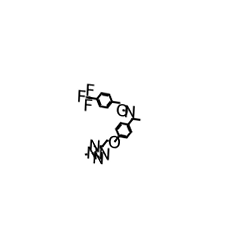 CC(=NOCc1ccc(C(F)(F)F)cc1)c1ccc(OCc2nnn(C)n2)cc1